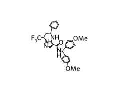 COc1ccc(C(NC(=O)c2cnn3c2NC(c2ccccc2)CC3C(F)(F)F)c2ccc(OC)cc2)cc1